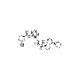 O=C(Oc1nnnn1CCNS(=O)(=O)c1cccc2c(N3CCCCC3)cccc12)c1cccc(Cl)c1